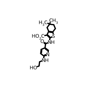 CC1(C)CCc2sc(NC(=O)c3ccc(NCCO)nc3)c(C(=O)O)c2C1